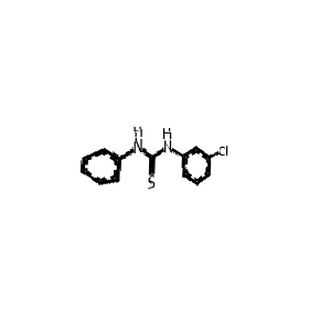 S=C(Nc1ccccc1)Nc1cccc(Cl)c1